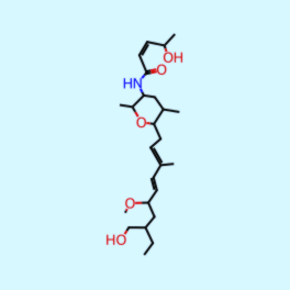 CCC(CO)CC(/C=C/C(C)=C/CC1OC(C)C(NC(=O)/C=C\C(C)O)CC1C)OC